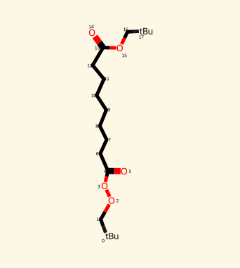 CC(C)(C)COOC(=O)CCCCCCCC(=O)OCC(C)(C)C